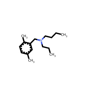 CCCCN(CCC)Cc1cc(C)ccc1C